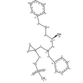 CS(=O)(=O)OCC1(CN(Cc2ccccc2)C[C@H](O)COCc2ccccc2)CC1